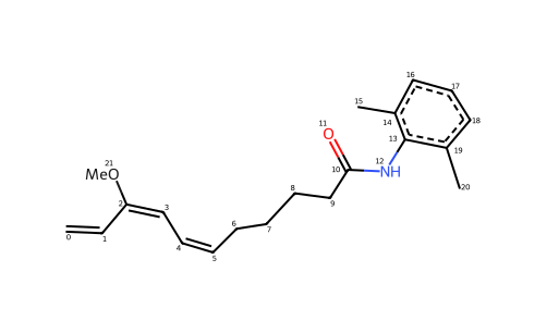 C=C/C(=C\C=C/CCCCC(=O)Nc1c(C)cccc1C)OC